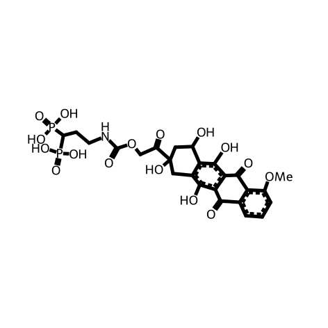 COc1cccc2c1C(=O)c1c(O)c3c(c(O)c1C2=O)CC(O)(C(=O)COC(=O)NCCC(P(=O)(O)O)P(=O)(O)O)CC3O